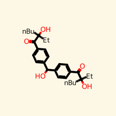 CCCCC(O)(CC)C(=O)c1ccc(C(O)c2ccc(C(=O)C(O)(CC)CCCC)cc2)cc1